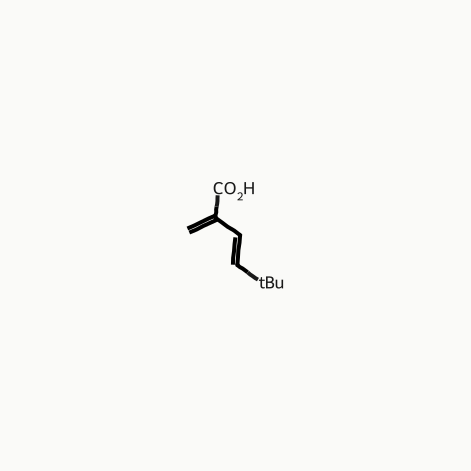 C=C(C=CC(C)(C)C)C(=O)O